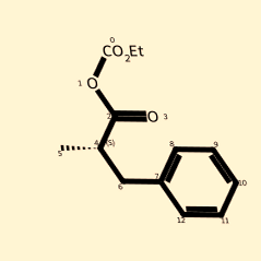 CCOC(=O)OC(=O)[C@@H](C)Cc1ccccc1